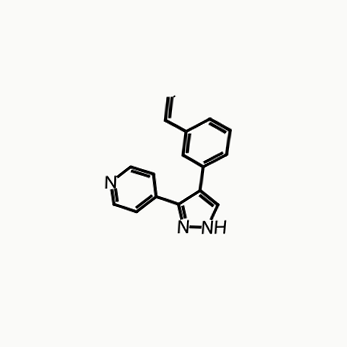 [CH]=Cc1cccc(-c2c[nH]nc2-c2ccncc2)c1